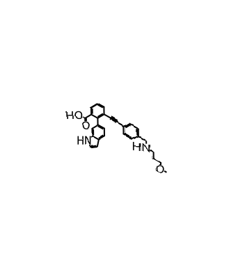 COCCCNCc1ccc(C#Cc2cccc(C(=O)O)c2-c2ccc3cc[nH]c3c2)cc1